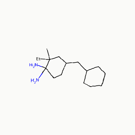 CCC1(C)CC(CC2CCCCC2)CCC1(N)N